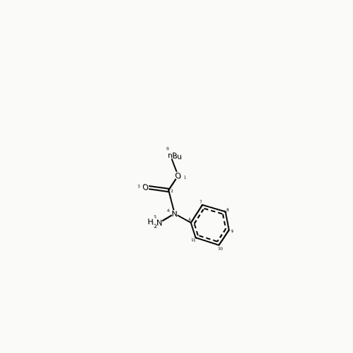 CCCCOC(=O)N(N)c1ccccc1